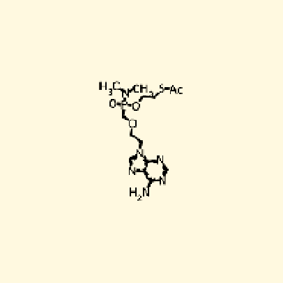 CC(=O)SCCOP(=O)(COCCn1cnc2c(N)ncnc21)N(C)C